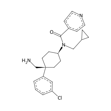 NC[C@]1(c2cccc(Cl)c2)CC[C@H](N(CC2CC2)C(=O)c2ccncc2)CC1